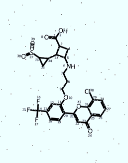 O=C(O)C1CC(NCCCOc2cc(C(F)(F)F)ccc2-c2cc(=O)c3cccc(Cl)c3o2)C1C1CC1[SH](=O)=O